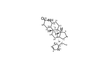 CC(c1nccs1)[C@H]1CC[C@H]2[C@@H]3CCC4NC(=O)CC[C@]4(C)[C@H]3CC[C@]12C